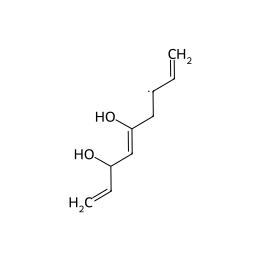 C=C[CH]CC(O)=CC(O)C=C